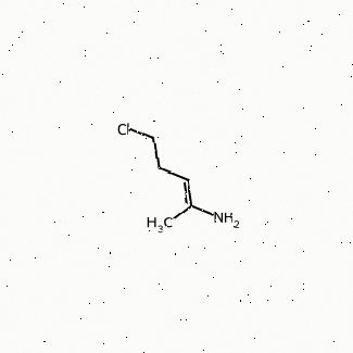 C/C(N)=C\CCCl